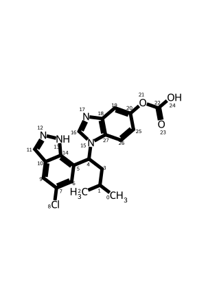 CC(C)CC(c1cc(Cl)cc2cn[nH]c12)n1cnc2cc(OC(=O)O)ccc21